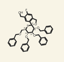 OCc1cc2c(cc1F)CO[C@]21S[C@H](COCc2ccccc2)[C@@H](OCc2ccccc2)[C@H](OCc2ccccc2)[C@H]1OCc1ccccc1